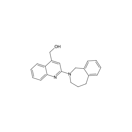 OCc1cc(N2CCCc3ccccc3C2)nc2ccccc12